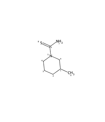 CC1CCCN(C(N)=S)C1